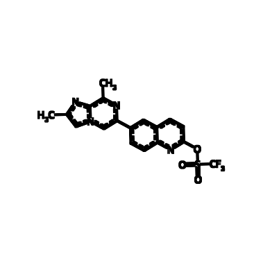 Cc1cn2cc(-c3ccc4nc(OS(=O)(=O)C(F)(F)F)ccc4c3)nc(C)c2n1